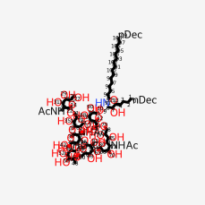 CCCCCCCCCCCCC/C=C/[C@@H](O)[C@H](CO[C@@H]1OC(CO)[C@@H](O[C@@H]2OC(CO[C@@H]3OC(CO)[C@@H](O)[C@H](O)C3NC(C)=O)[C@H](O)[C@H](O[C@@H]3OC(CO)[C@@H](O[C@H]4OC(C)[C@@H](O)C(O)[C@@H]4O)[C@H](O[C@@H]4OC(CO)[C@H](O)[C@H](O[C@]5(C(=O)O)CC(O)[C@@H](NC(C)=O)C([C@H](O)[C@H](O)CO)O5)C4O)C3NC(C)=O)C2O)[C@H](O)C1O)NC(=O)CCCCCCCCCCCCCCCCCCCCCCCCC